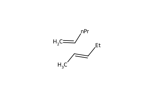 C/C=C/CC.C=CCCC